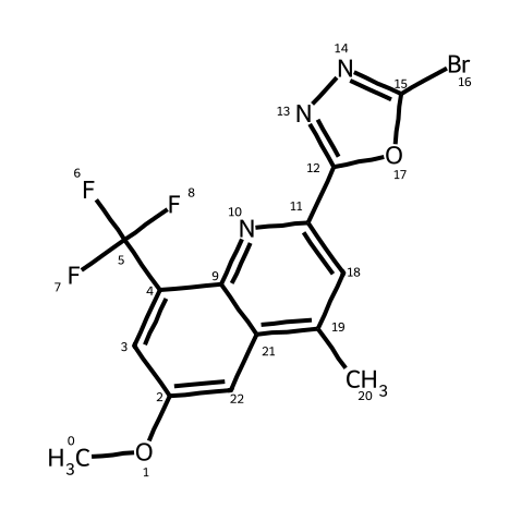 COc1cc(C(F)(F)F)c2nc(-c3nnc(Br)o3)cc(C)c2c1